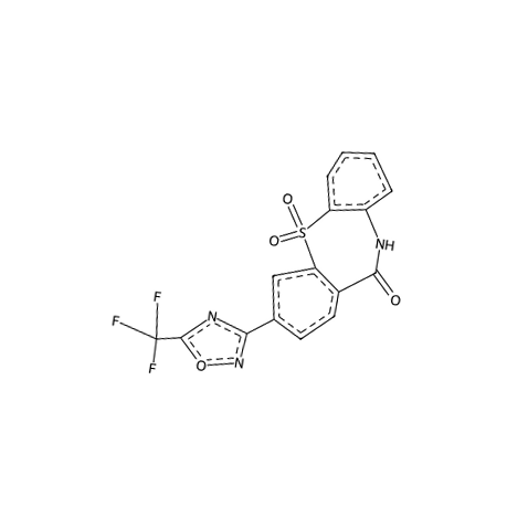 O=C1Nc2ccccc2S(=O)(=O)c2cc(-c3noc(C(F)(F)F)n3)ccc21